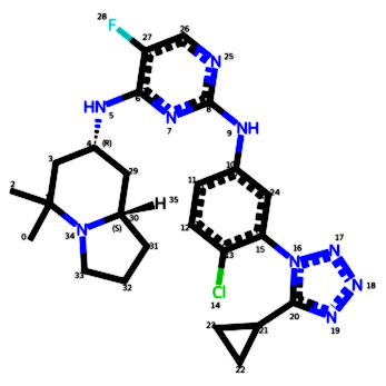 CC1(C)C[C@H](Nc2nc(Nc3ccc(Cl)c(-n4nnnc4C4CC4)c3)ncc2F)C[C@@H]2CCCN21